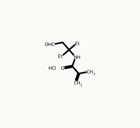 C=C(C)C(=O)NC(CC)(CC)CC=O.Cl